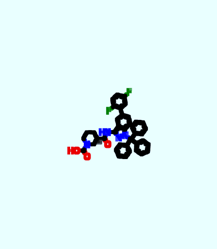 O=C(Nc1nn(C(c2ccccc2)(c2ccccc2)c2ccccc2)c2ccc(-c3cc(F)ccc3F)cc12)[C@@H]1CCCN(C(=O)O)C1